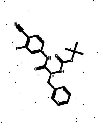 CC(C)(C)OC(=O)N[C@@H](Cc1ccccc1)C(=O)Nc1ccc(C#N)c(F)c1